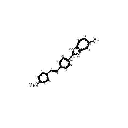 CNc1ccc(/C=C/c2ccc(-c3nc4cc(O)ccc4s3)cc2)cc1